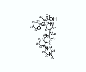 CCC(O)(c1ccc(N2CCC(Cc3ccccc3N3CCN(C)CC3)C2=O)cn1)[C@H](C)O[C@@H]1CCCCO1